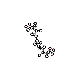 c1ccc(-c2cc(-n3c4ccccc4c4cc([Si](c5ccccc5)(c5ccccc5)c5ccccc5)ccc43)nc(-n3c4ccccc4n4c5cc([Si](c6ccccc6)(c6ccccc6)c6ccc(-c7ccc8c(c7)c7ccccc7n8-c7cc(-c8ccccc8)cc(-n8c9ccc([Si](c%10ccccc%10)(c%10ccccc%10)c%10ccccc%10)cc9n9c%10ccccc%10nc89)n7)cc6)ccc5nc34)c2)cc1